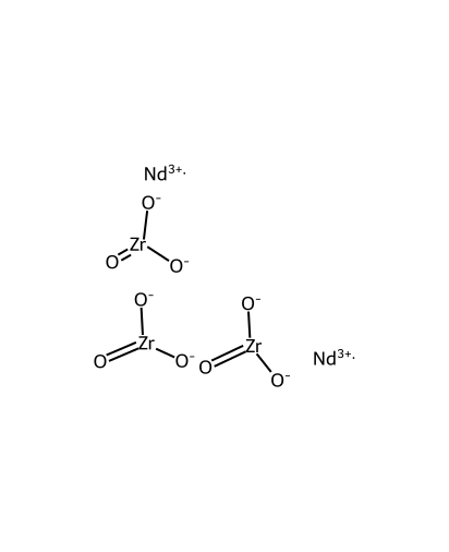 [Nd+3].[Nd+3].[O]=[Zr]([O-])[O-].[O]=[Zr]([O-])[O-].[O]=[Zr]([O-])[O-]